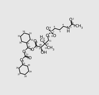 CC(=O)NCCCS(=O)(=O)OCC(C)(C)[C@@H](O)C(=O)OC(OC(=O)OC1CCCCC1)C1CCCCC1